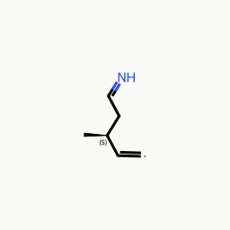 [CH]=C[C@@H](C)CC=N